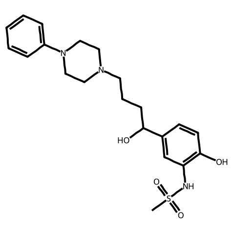 CS(=O)(=O)Nc1cc(C(O)CCCN2CCN(c3ccccc3)CC2)ccc1O